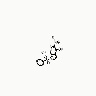 O=[N+]([O-])c1nc(Cl)c2c(ccn2S(=O)(=O)c2ccccc2)c1O